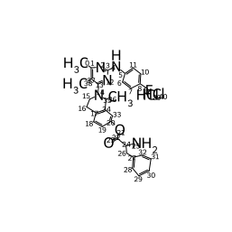 Cc1nc(Nc2ccc(F)cc2)nc(N2CCc3ccc(OC(=O)C(N)Cc4ccccc4)cc3C2C)c1C.Cl.Cl